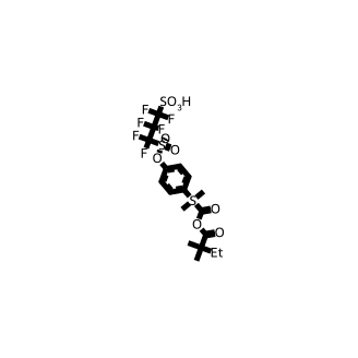 CCC(C)(C)C(=O)OC(=O)S(C)(C)c1ccc(OS(=O)(=O)C(F)(F)C(F)(F)C(F)(F)S(=O)(=O)O)cc1